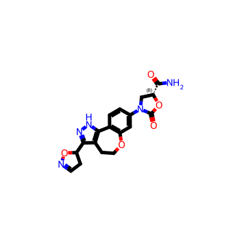 NC(=O)[C@H]1CN(c2ccc3c(c2)OCCc2c(C4CC=NO4)n[nH]c2-3)C(=O)O1